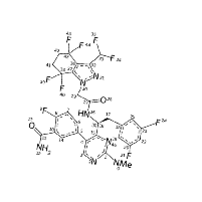 CNc1ncc(-c2ccc(F)c(C(N)=O)c2)c([C@H](Cc2cc(F)cc(F)c2)NC(=O)Cn2nc(C(F)F)c3c2C(F)(F)CCC3(F)F)n1